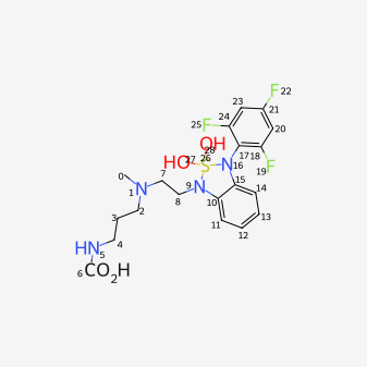 CN(CCCNC(=O)O)CCN1c2ccccc2N(c2c(F)cc(F)cc2F)S1(O)O